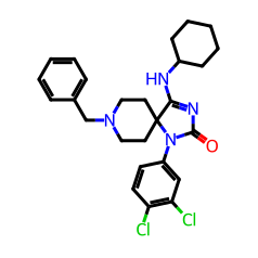 O=C1N=C(NC2CCCCC2)C2(CCN(Cc3ccccc3)CC2)N1c1ccc(Cl)c(Cl)c1